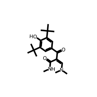 CNC(=O)/C(=C\N(C)C)C(=O)c1cc(C(C)(C)C)c(O)c(C(C)(C)C)c1